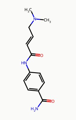 CN(C)CC=CC(=O)Nc1ccc(C(N)=O)cc1